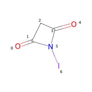 O=C1CC(=O)N1I